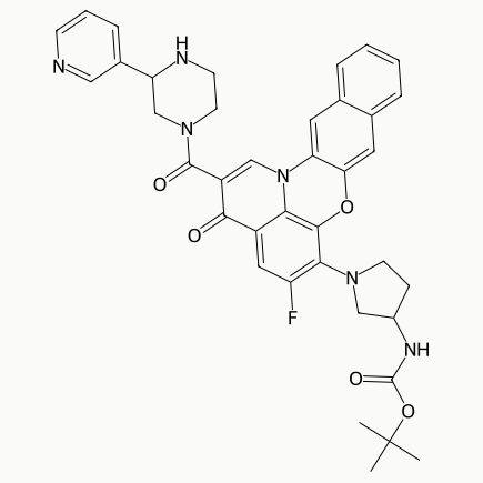 CC(C)(C)OC(=O)NC1CCN(c2c(F)cc3c(=O)c(C(=O)N4CCNC(c5cccnc5)C4)cn4c3c2Oc2cc3ccccc3cc2-4)C1